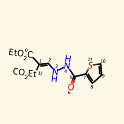 CCOC(=O)C(=CNNC(=O)c1cccs1)C(=O)OCC